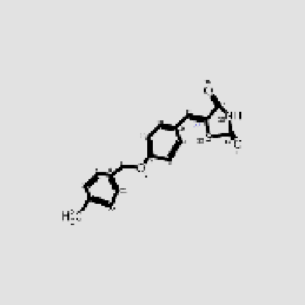 Cc1ccc(COc2ccc(/C=C3\SC(=O)NC3=O)cc2)cc1